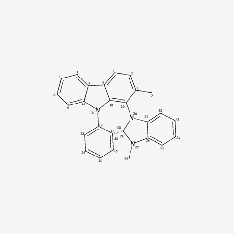 Cc1ccc2c3ccccc3n(-c3ccccc3)c2c1N1c2ccccc2N(C)[C@@H]1C